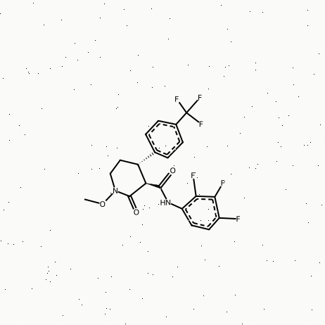 CON1CC[C@H](c2ccc(C(F)(F)F)cc2)[C@@H](C(=O)Nc2ccc(F)c(F)c2F)C1=O